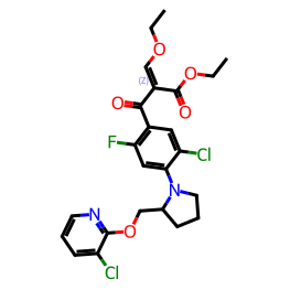 CCO/C=C(\C(=O)OCC)C(=O)c1cc(Cl)c(N2CCCC2COc2ncccc2Cl)cc1F